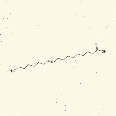 CCCCCCC/C=C/CCCCCCCCC(=O)O